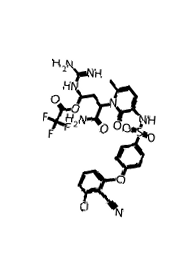 Cc1ccc(NS(=O)(=O)c2ccc(Oc3cccc(Cl)c3C#N)cc2)c(=O)n1C(CC(NC(=N)N)OC(=O)C(F)(F)F)C(N)=O